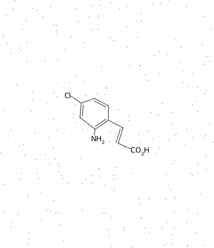 Nc1cc(Cl)ccc1/C=C/C(=O)O